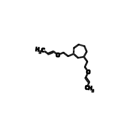 CC=COCCC1CCCCC(CCOC=CC)C1